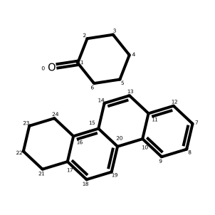 O=C1CCCCC1.c1ccc2c(c1)ccc1c3c(ccc12)CCCC3